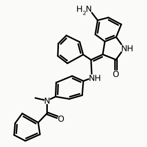 CN(C(=O)c1ccccc1)c1ccc(N/C(=C2\C(=O)Nc3ccc(N)cc32)c2ccccc2)cc1